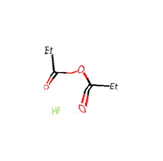 CCC(=O)OC(=O)CC.F